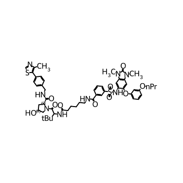 CCCOc1cccc(Oc2cc3c(cc2NS(=O)(=O)c2cccc(C(=O)NCCCCCC(=O)NC(C(=O)N4C[C@H](O)C[C@H]4C(=O)NCc4ccc(-c5scnc5C)cc4)C(C)(C)C)c2)n(C)c(=O)n3C)c1